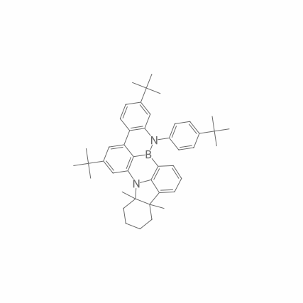 CC(C)(C)c1ccc(N2B3c4cccc5c4N(c4cc(C(C)(C)C)cc(c43)-c3ccc(C(C)(C)C)cc32)C2(C)CCCCC52C)cc1